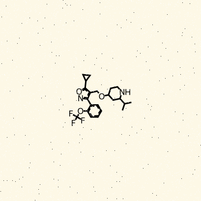 CC(C)C1CC(OCc2c(-c3ccccc3OC(F)(F)F)noc2C2CC2)CCN1